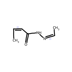 C/C=C\C(=O)N/N=C\C